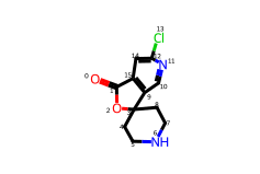 O=C1OC2(CCNCC2)c2cnc(Cl)cc21